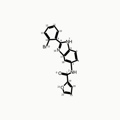 O=C(Nc1ccc2[nH]c(-c3ccccc3Br)nc2c1)c1ccco1